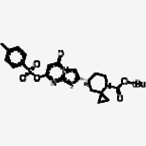 Cc1ccc(S(=O)(=O)Oc2cc(=O)n3cc([C@@H]4CCN(C(=O)OC(C)(C)C)C5(CC5)C4)sc3n2)cc1